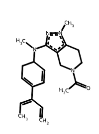 C=C/C(=C\C)C1=CCC(N(C)c2nn(C)c3c2CN(C(C)=O)CC3)C=C1